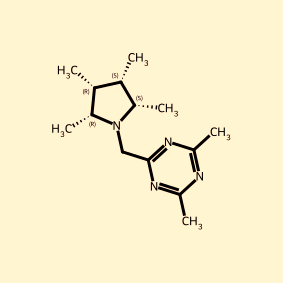 Cc1nc(C)nc(CN2[C@H](C)[C@H](C)[C@H](C)[C@@H]2C)n1